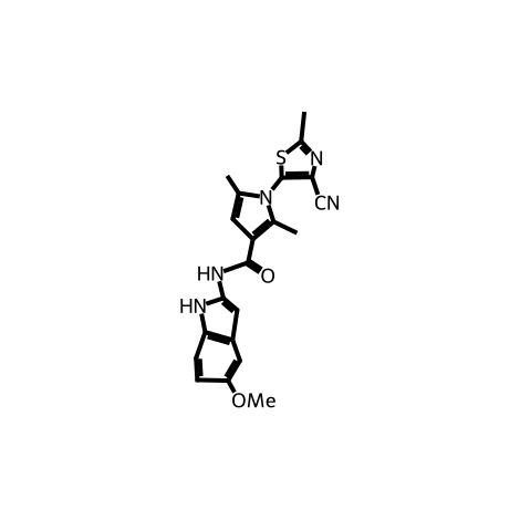 COc1ccc2[nH]c(NC(=O)c3cc(C)n(-c4sc(C)nc4C#N)c3C)cc2c1